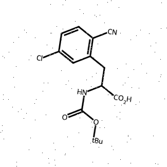 CC(C)(C)OC(=O)NC(Cc1cc(Cl)ccc1C#N)C(=O)O